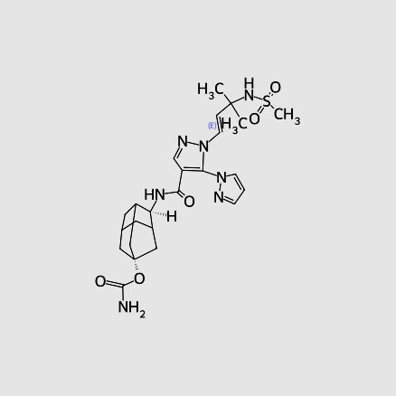 CC(C)(/C=C/n1ncc(C(=O)N[C@H]2C3CC4CC2C[C@](OC(N)=O)(C4)C3)c1-n1cccn1)NS(C)(=O)=O